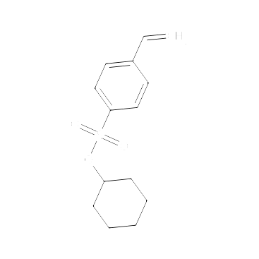 C=Cc1ccc(S(=O)(=O)OC2CCCCC2)cc1